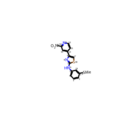 CSc1cccc(Nc2nc(-c3ccnc([N+](=O)[O-])c3)cs2)c1